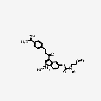 CCOCCN(CC)C(=O)Oc1ccc2c(c1)c(C(=O)CCc1ccc(C(=N)N)cc1)cn2C.Cl